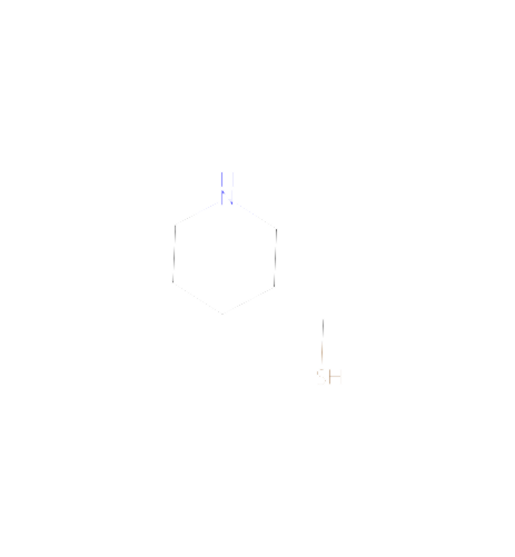 SC[C@@H]1CCCNC1